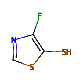 Fc1ncsc1S